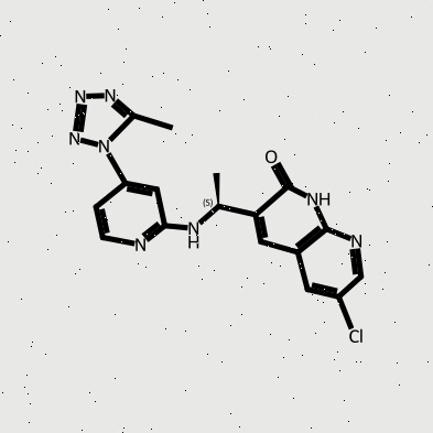 Cc1nnnn1-c1ccnc(N[C@@H](C)c2cc3cc(Cl)cnc3[nH]c2=O)c1